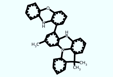 Cc1cc(-c2cccc3c2Nc2ccccc2O3)c2c(c1)N1c3ccccc3C(C)(C)c3cccc(c31)B2